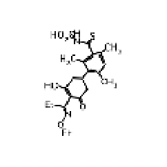 CCON=C(CC)C1=C(O)CC(c2c(C)cc(C)c(C(=S)NC(=O)O)c2C)CC1=O